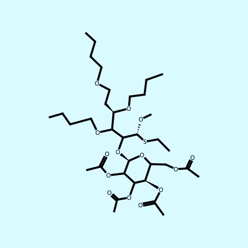 CCCCOCC[C@@H](OCCCC)C(OCCCC)C(O[C@H]1OC(COC(C)=O)[C@@H](OC(C)=O)C(OC(C)=O)C1OC(C)=O)[C@H](OC)SCC